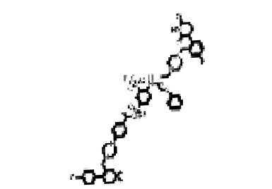 CC1(C)CCC(c2ccc(Cl)cc2)=C(CN2CCN(c3ccc(C(=O)NS(=O)(=O)c4ccc(N[C@H](CCN5CCN(Cc6cc(F)ccc6C6CCC(=O)NC6=O)CC5)CSc5ccccc5)c(S(=O)(=O)C(F)(F)F)c4)cc3)CC2)C1